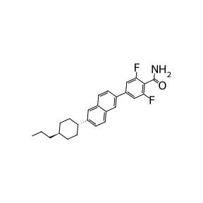 CCC[C@H]1CC[C@H](c2ccc3cc(-c4cc(F)c(C(N)=O)c(F)c4)ccc3c2)CC1